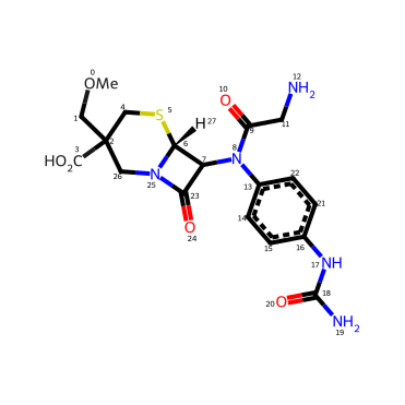 COCC1(C(=O)O)CS[C@@H]2C(N(C(=O)CN)c3ccc(NC(N)=O)cc3)C(=O)N2C1